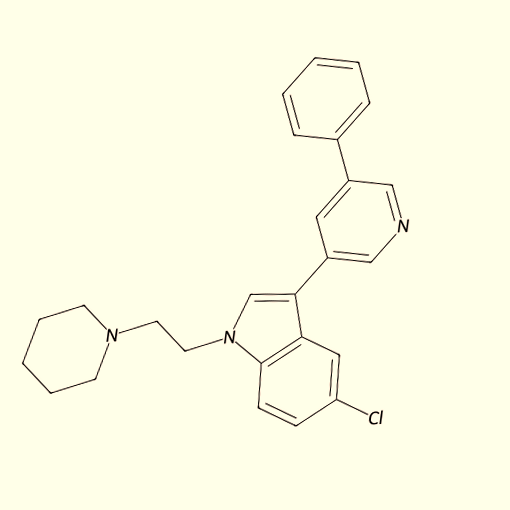 Clc1ccc2c(c1)c(-c1cncc(-c3ccccc3)c1)cn2CCN1CCCCC1